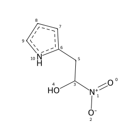 O=[N+]([O-])C(O)Cc1ccc[nH]1